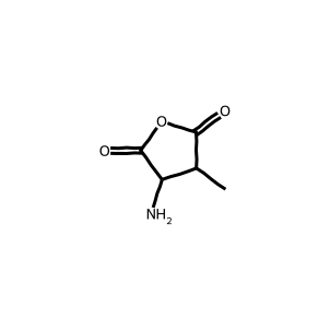 CC1C(=O)OC(=O)C1N